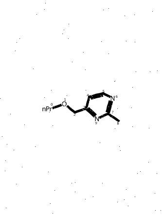 CCCOCc1ccnc(C)n1